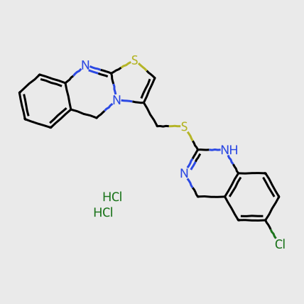 Cl.Cl.Clc1ccc2c(c1)CN=C(SCC1=CSC3=Nc4ccccc4CN13)N2